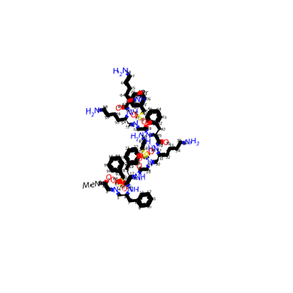 CNC(=O)CN(C[C@H](Cc1ccccc1)NC(=O)[C@H](Cc1ccccc1)NC(=O)CN(C[C@H](CCCCN)NC(=O)[C@H](Cc1ccccc1)NC(=O)CN(C[C@H](CCCCN)NC(=O)C(CCCCN)NC(C)C)S(=O)(=O)Cc1ccccc1)S(=O)(=O)CCN)S(=O)(=O)Cc1ccccc1